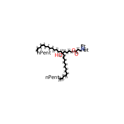 CCCCC/C=C\C/C=C\CCCCCCCCC(O)(CCCCCCCC/C=C\C/C=C\CCCCC)CCCCOC(=O)CCN(CC)CC